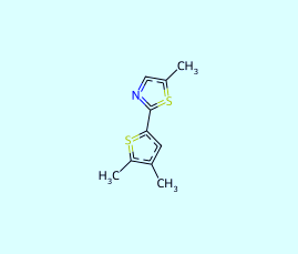 Cc1cnc(-c2cc(C)c(C)s2)s1